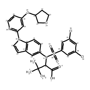 CC(C)(C)C(C(=O)O)N(c1ccc2c(ccn2-c2cc(OC3CCOC3)ccn2)c1)S(=O)(=O)c1cc(Cl)cc(Cl)c1